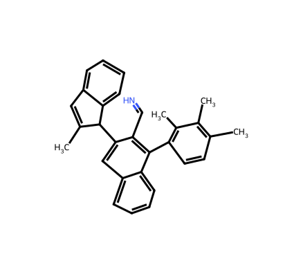 CC1=Cc2ccccc2C1c1cc2ccccc2c(-c2ccc(C)c(C)c2C)c1C=N